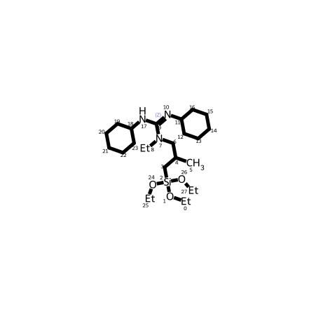 CCO[Si](CC(C)CN(CC)/C(=N\C1CCCCC1)NC1CCCCC1)(OCC)OCC